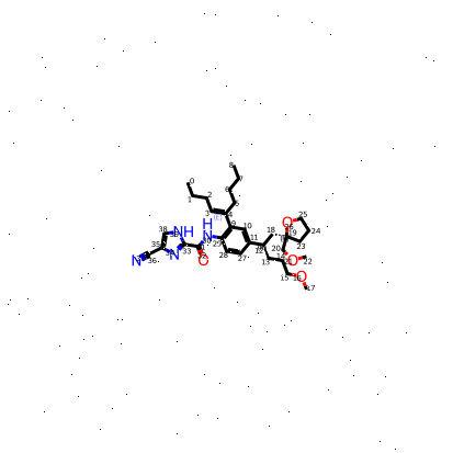 CCC/C=C(\CCCC)c1cc([C@H](CCCOC)C[C@@]2(COC)CCCO2)ccc1NC(=O)c1nc(C#N)c[nH]1